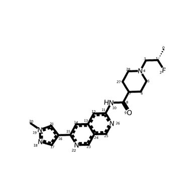 C[C@H](F)CN1CCC(C(=O)Nc2cc3cc(-c4cnn(C)c4)ncc3cn2)CC1